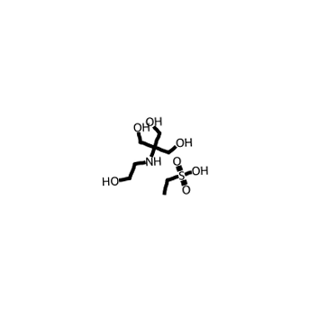 CCS(=O)(=O)O.OCCNC(CO)(CO)CO